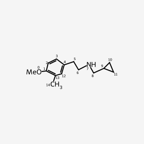 COc1ccc(CCNCC2CC2)cc1C